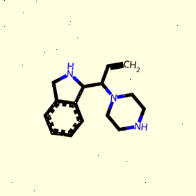 C=CC(C1NCc2ccccc21)N1CCNCC1